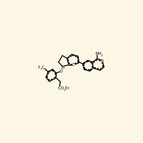 CCOC(=O)Cc1ccc(C(F)(F)F)cc1O[C@@H]1CCc2ccc(-c3ccc4ccnc(N)c4c3)cc21